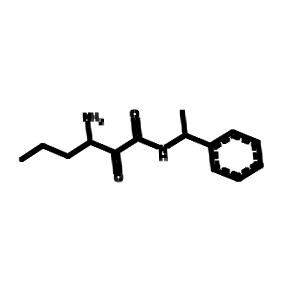 CCCC(N)C(=O)C(=O)NC(C)c1ccccc1